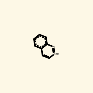 [CH]1=Cc2ccccc2[N]=[SnH]1